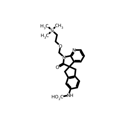 C[Si](C)(C)CCOCN1C(=O)C2(Cc3ccc(NC(=O)O)cc3C2)c2cccnc21